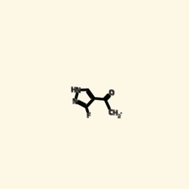 [CH2]C(=O)c1c[nH]nc1F